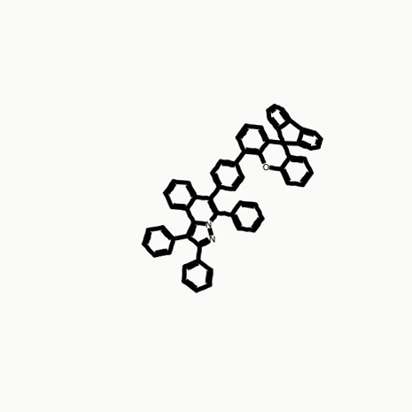 c1ccc(-c2nn3c(-c4ccccc4)c(-c4ccc(-c5cccc6c5Oc5ccccc5C65c6ccccc6-c6ccccc65)cc4)c4ccccc4c3c2-c2ccccc2)cc1